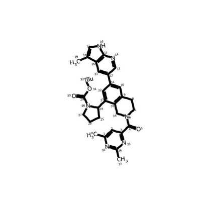 Cc1cc(C(=O)N2CCc3cc(-c4cnc5[nH]cc(C)c5c4)cc(C4CCCN4C(=O)OC(C)(C)C)c3C2)nc(C)n1